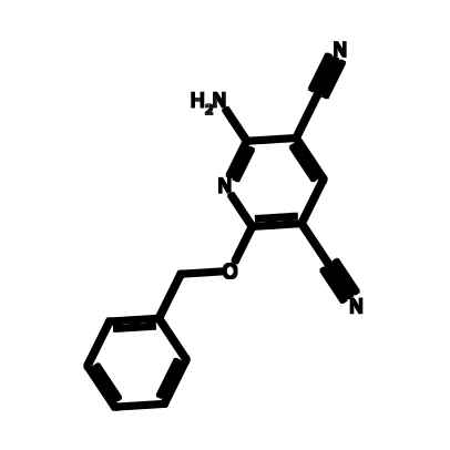 N#Cc1cc(C#N)c(OCc2ccccc2)nc1N